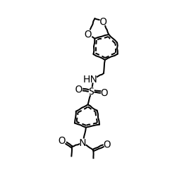 CC(=O)N(C(C)=O)c1ccc(S(=O)(=O)NCc2ccc3c(c2)OCO3)cc1